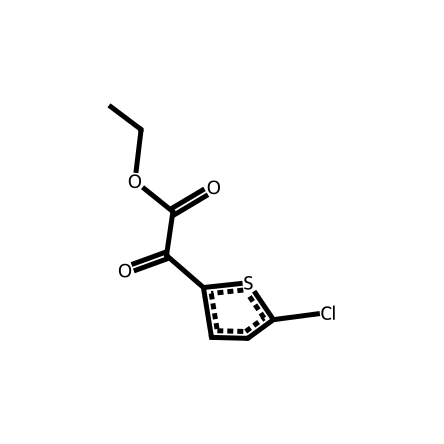 CCOC(=O)C(=O)c1ccc(Cl)s1